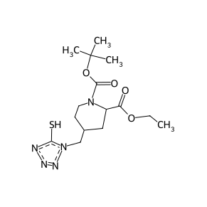 CCOC(=O)C1CC(Cn2nnnc2S)CCN1C(=O)OC(C)(C)C